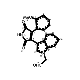 COc1ccccc1C1=C(c2cn(CC=O)c3ccccc23)C(=O)NC1=O